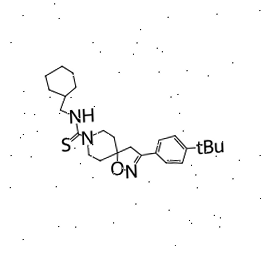 CC(C)(C)c1ccc(C2=NOC3(CCN(C(=S)NCC4CCCCC4)CC3)C2)cc1